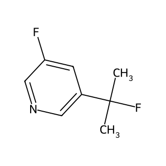 CC(C)(F)c1cncc(F)c1